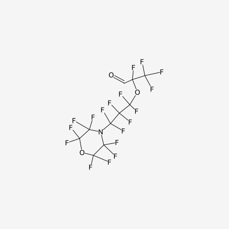 O=CC(F)(OC(F)(F)C(F)(F)C(F)(F)N1C(F)(F)C(F)(F)OC(F)(F)C1(F)F)C(F)(F)F